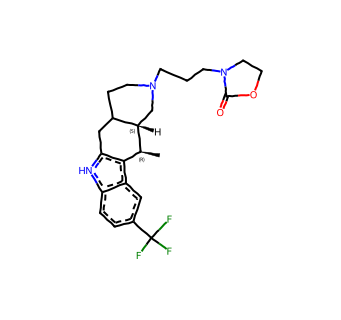 C[C@H]1c2c([nH]c3ccc(C(F)(F)F)cc23)CC2CCN(CCCN3CCOC3=O)C[C@@H]21